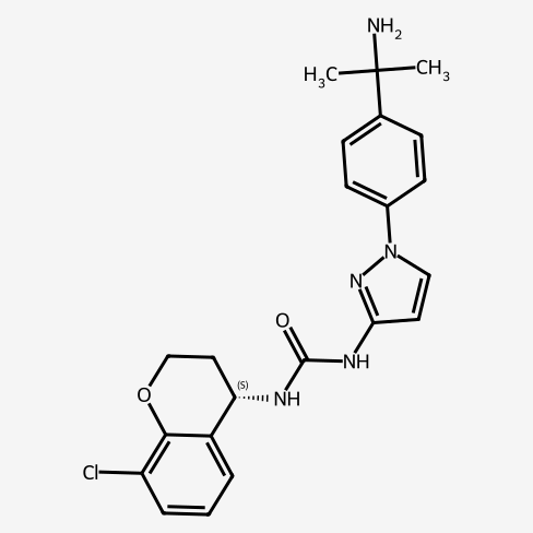 CC(C)(N)c1ccc(-n2ccc(NC(=O)N[C@H]3CCOc4c(Cl)cccc43)n2)cc1